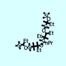 CCC[Si](C)(OC(C)(CC)C(C)(C)[Si](C)(C)OC(CC)[Si](C)(C)C)C(C)(CC)C(CC)O[Si](C)(C)C(C)(CC)O[Si](C)(C)C